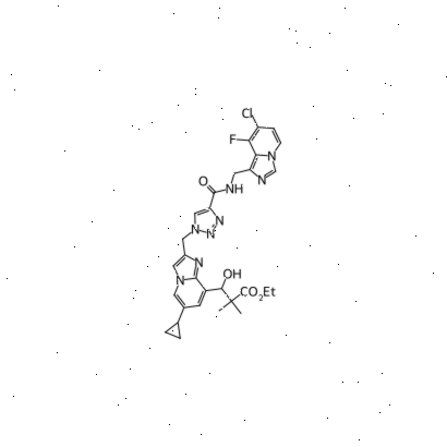 CCOC(=O)C(C)(C)C(O)c1cc(C2CC2)cn2cc(Cn3cc(C(=O)NCc4ncn5ccc(Cl)c(F)c45)nn3)nc12